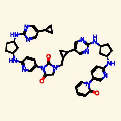 O=C1CN(CC2CC2c2cnc(N[C@H]3CC[C@H](Nc4ccc(-n5ccccc5=O)cn4)C3)nc2)C(=O)N1c1ccc(N[C@H]2CC[C@H](Nc3ncc(C4CC4)cn3)C2)nc1